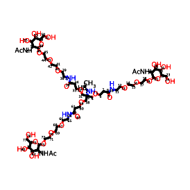 CBNC(COCCC(=O)NCCOCCOCCOC1OC(CO)C(O)C(O)C1NC(C)=O)(COCCC(=O)NCCOCCOCCOC1OC(CO)C(O)C(O)C1NC(C)=O)COCCC(=O)NCCOCCOCCOC1OC(CO)C(O)C(O)C1NC(C)=O